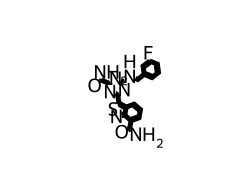 NC(=O)c1nc(NCc2cccc(F)c2)nc(-c2snc3c(C(N)=O)cccc23)n1